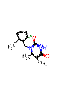 Cc1c(C)n(Cc2c(F)cccc2C(F)(F)F)c(=O)[nH]c1=O